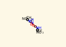 Cc1cc(N2CCC(NC(=O)COC3CCC(Nc4ccc(N=O)c(C(F)(F)F)c4)CC3)CC2)ccc1C#N